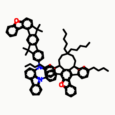 CCCCCCCC12CCC(CCCCC)(CCCCC)CCC3(CCCCCCC)c4ccccc4-c4c3c1c(c1oc3ccccc3c41)-c1ccc(N(c3ccc4c(c3)C(C)(C)c3cc5c(cc3-4)C(C)(C)c3ccc4oc6ccccc6c4c3-5)c3cccc4c5ccccc5n(-c5ccccc5)c34)cc12